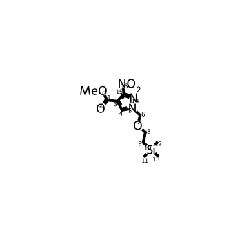 COC(=O)c1cn(COCC[Si](C)(C)C)nc1[N+](=O)[O-]